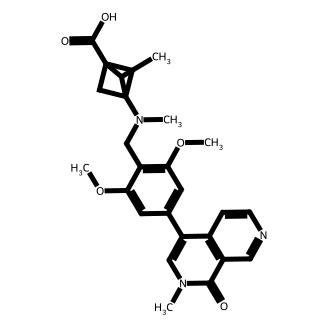 COc1cc(-c2cn(C)c(=O)c3cnccc23)cc(OC)c1CN(C)C12CC(C(=O)O)(C1)C2C